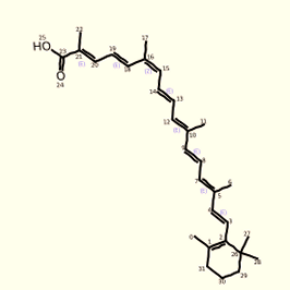 CC1=C(/C=C/C(C)=C/C=C/C(C)=C/C=C/C=C(C)\C=C\C=C(/C)C(=O)O)C(C)(C)CCC1